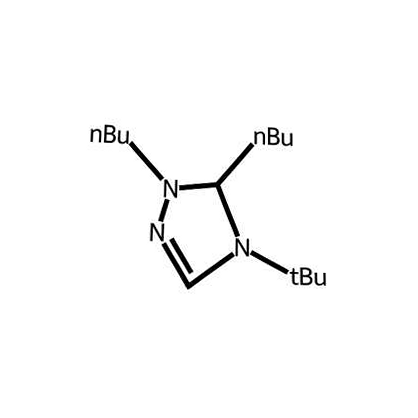 CCCCC1N(CCCC)N=CN1C(C)(C)C